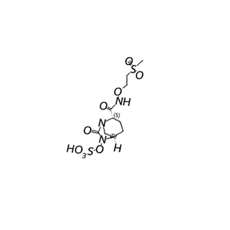 CS(=O)(=O)CCONC(=O)[C@@H]1CC[C@@H]2CN1C(=O)N2OS(=O)(=O)O